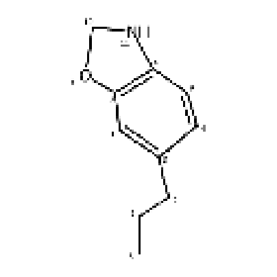 CCCc1ccc2c(c1)OCN2